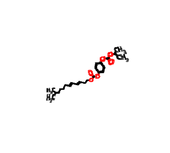 CC(C)CCCCCCCCCCOC(=O)OC1CCC(OC(=O)OC(C)C)CC1